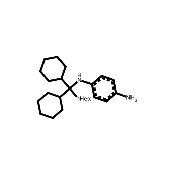 CCCCCCC(Nc1ccc(N)cc1)(C1CCCCC1)C1CCCCC1